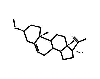 CO[C@H]1CC[C@@]2(C)C(=CCC3C2CC[C@@]2(C)C3CC[C@]2(C)C(C)=O)C1